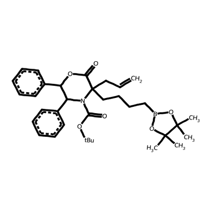 C=CCC1(CCCCB2OC(C)(C)C(C)(C)O2)C(=O)OC(c2ccccc2)C(c2ccccc2)N1C(=O)OC(C)(C)C